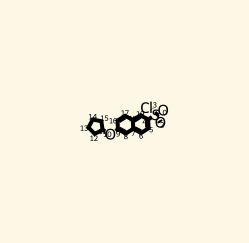 O=S(=O)(Cl)c1ccc2cc(OC3CCCC3)ccc2c1